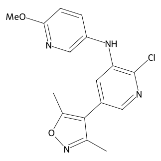 COc1ccc(Nc2cc(-c3c(C)noc3C)cnc2Cl)cn1